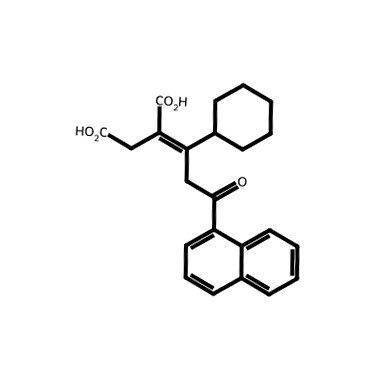 O=C(O)CC(C(=O)O)=C(CC(=O)c1cccc2ccccc12)C1CCCCC1